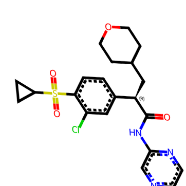 O=C(Nc1cnccn1)[C@H](CC1CCOCC1)c1ccc(S(=O)(=O)C2CC2)c(Cl)c1